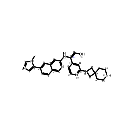 Cn1cncc1-c1ccc2cnc(N/C(=C/O)c3ccnc(N4CC5(CCNCC5)C4)c3)cc2c1